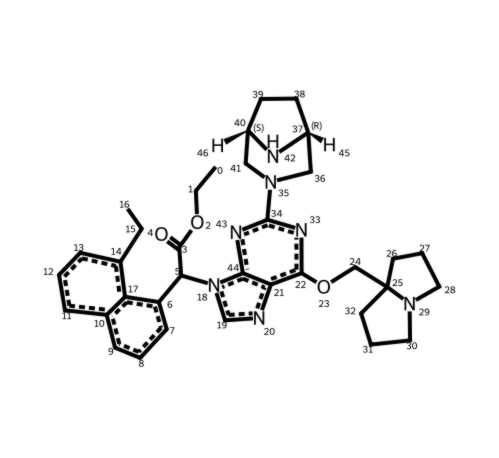 CCOC(=O)C(c1cccc2cccc(CC)c12)n1cnc2c(OCC34CCCN3CCC4)nc(N3C[C@H]4CC[C@@H](C3)N4)nc21